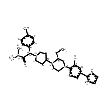 CC[C@H]1CN(c2ncc(-c3ncc[nH]3)cc2Cl)CCN1C1CCN([C@@H](C(=O)N(C)C)c2ccc(Cl)cc2)CC1